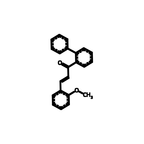 COc1ccccc1/C=C/C(=O)c1ccccc1-c1ccccc1